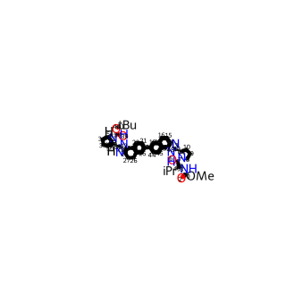 COC(=O)N[C@H](C(=O)N1CCC[C@H]1c1nc2ccc3cc(-c4ccc5c(c4)CCc4nc([C@@H]6[C@H]7CC[C@H](C7)N6C(=O)OC(C)(C)C)[nH]c4-5)ccc3c2[nH]1)C(C)C